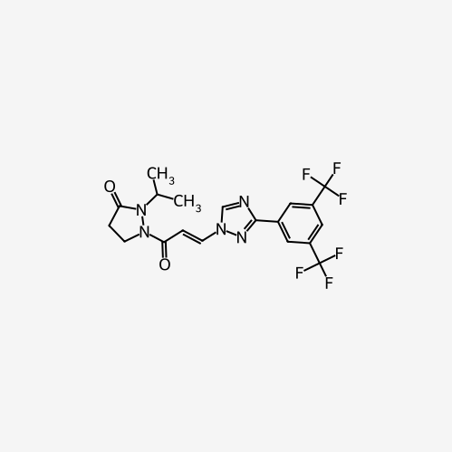 CC(C)N1C(=O)CCN1C(=O)C=Cn1cnc(-c2cc(C(F)(F)F)cc(C(F)(F)F)c2)n1